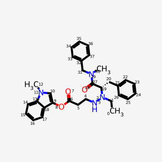 CCN(NCCC(=O)Oc1cn(C)c2ccccc12)[C@@H](Cc1ccccc1)C(=O)N(C)Cc1ccccc1